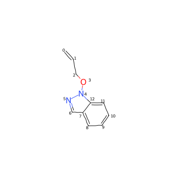 C=CCOn1ncc2ccccc21